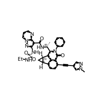 CCNS(=O)(=O)Nc1nn2cccnc2c1C(=O)N[C@H](C)c1c2c3c(ccc(C#Cc4cnn(C)c4)c3c(=O)n1-c1ccccc1)[C@@H]1C[C@H]21